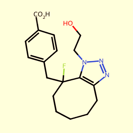 O=C(O)c1ccc(CC2(F)CCCCCc3nnn(CCO)c32)cc1